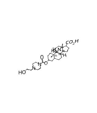 C[C@]12CCC(OC(=O)N3CCN(CCO)CC3)CC1CC[C@@H]1[C@H]2CC[C@]2(C)C(C(=O)O)CC[C@@]12N